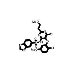 COCCc1nc(Cl)c(Oc2cc(OC)ccc2Cl)c(NS(=O)(=O)c2ccc3c(c2)OCO3)n1